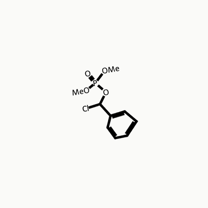 COP(=O)(OC)OC(Cl)c1ccccc1